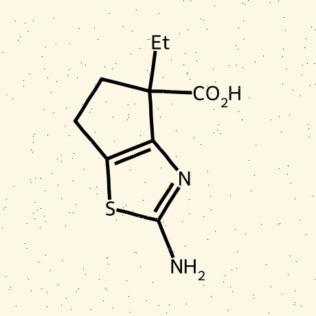 CCC1(C(=O)O)CCc2sc(N)nc21